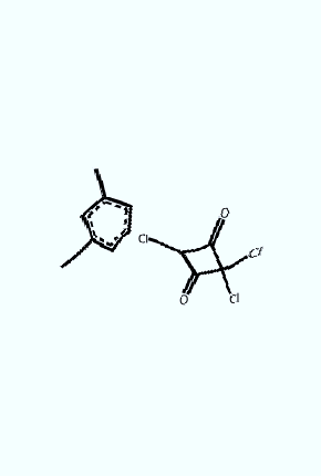 Cc1cccc(C)c1.O=C1C(Cl)C(=O)C1(Cl)Cl